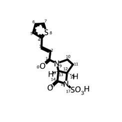 O=C(/C=C/c1cccs1)N1CC[C@@H]2[C@H]1C(=O)N2S(=O)(=O)O